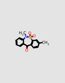 Cc1ccc2c(c1)S(=O)(=O)N(C)c1ccccc1C2=O